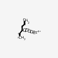 C=CCCC=C.[Cl-].[Cl-].[Cl-].[Cl-].[Pt+4]